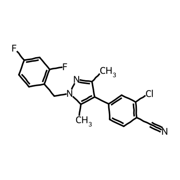 Cc1nn(Cc2ccc(F)cc2F)c(C)c1-c1ccc(C#N)c(Cl)c1